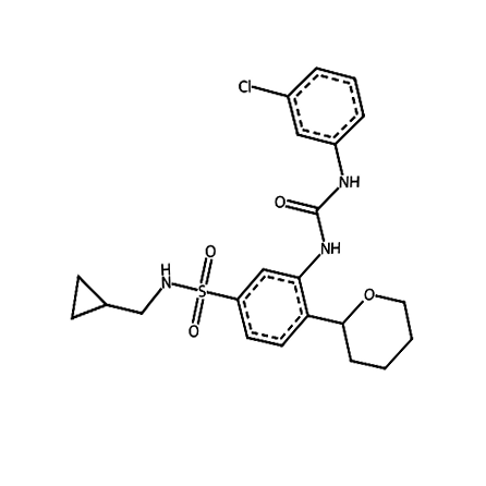 O=C(Nc1cccc(Cl)c1)Nc1cc(S(=O)(=O)NCC2CC2)ccc1C1CCCCO1